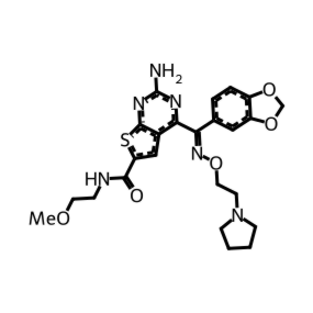 COCCNC(=O)c1cc2c(C(=NOCCN3CCCC3)c3ccc4c(c3)OCO4)nc(N)nc2s1